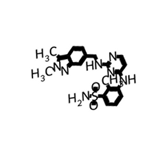 Cc1c(Nc2ccnc(NCc3ccc4c(C)n(C)nc4c3)n2)cccc1S(N)(=O)=O